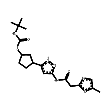 Cc1cnc(CC(=O)Nc2cc(C3CCC(OC(=O)NC(C)(C)C)C3)[nH]n2)s1